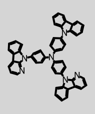 c1ccc2c(c1)c1ccccc1n2-c1ccc(N(c2ccc(-n3c4ccccc4c4cccnc43)cc2)c2ccc(-n3c4ccccc4c4cccnc43)cc2)cc1